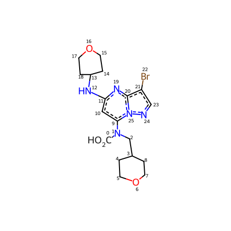 O=C(O)N(CC1CCOCC1)c1cc(NC2CCOCC2)nc2c(Br)cnn12